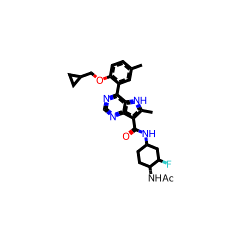 CC(=O)NC1CCC(NC(=O)c2c(C)[nH]c3c(-c4cc(C)ccc4OCC4CC4)ncnc23)CC1F